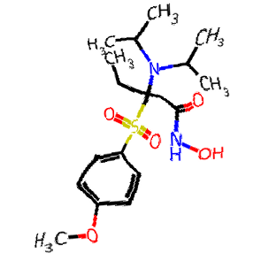 CCC(C(=O)NO)(N(C(C)C)C(C)C)S(=O)(=O)c1ccc(OC)cc1